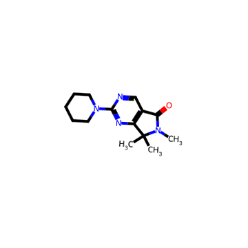 CN1C(=O)c2cnc(N3CCCCC3)nc2C1(C)C